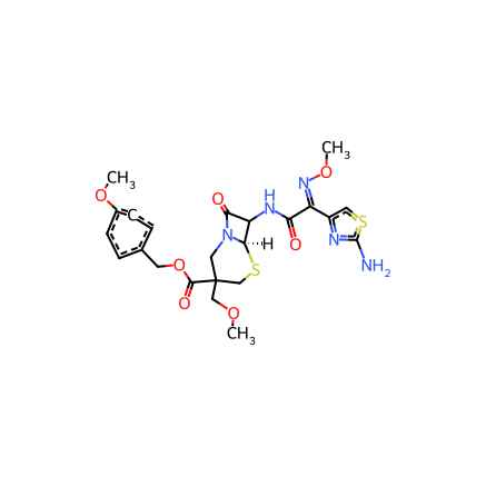 COCC1(C(=O)OCc2ccc(OC)cc2)CS[C@@H]2C(NC(=O)C(=NOC)c3csc(N)n3)C(=O)N2C1